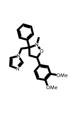 COc1ccc(C2CC(Cn3ccnc3)(c3ccccc3)N(C)O2)cc1OC